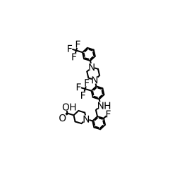 O=C(O)C1CCN(c2cccc(F)c2CNc2ccc(N3CCN(c4cccc(C(F)(F)F)c4)CC3)c(C(F)(F)F)c2)CC1